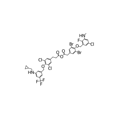 CNc1cc(Cl)cc(COc2c(Br)cc(CC(=O)OC(=O)CCc3cc(Cl)c(OCc4cc(NCC5CC5)cc(C(F)(F)F)c4)c(Cl)c3)cc2Br)c1F